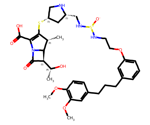 COc1ccc(CCCc2cccc(OCCN[S+]([O-])NC[C@@H]3C[C@H](SC4=C(C(=O)O)N5C(=O)[C@H]([C@@H](C)O)C5[C@H]4C)CN3)c2)cc1OC